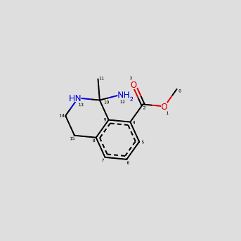 COC(=O)c1cccc2c1C(C)(N)NCC2